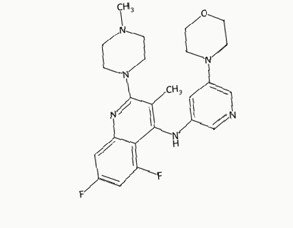 Cc1c(N2CCN(C)CC2)nc2cc(F)cc(F)c2c1Nc1cncc(N2CCOCC2)c1